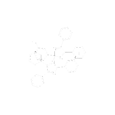 Clc1cccc(-c2nc(-c3ccccc3)c(-c3ccccc3)n2C2(c3cccc(Cl)c3)N=C(c3ccccc3)C(c3ccccc3)=N2)c1